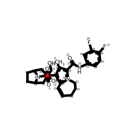 Cc1c(S(=O)(=O)N2C3CCC2CC(O)(CO)C3)c2n(c1C(=O)Nc1ccc(F)c(F)c1)CCCC=C2